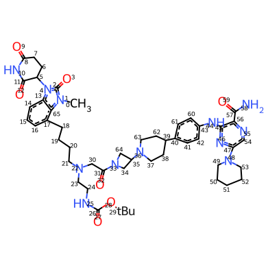 Cn1c(=O)n(C2CCC(=O)NC2=O)c2cccc(CCCCN(CCNC(=O)OC(C)(C)C)CC(=O)N3CC(N4CCC(c5ccc(Nc6nc(N7CCCCC7)cnc6C(N)=O)cc5)CC4)C3)c21